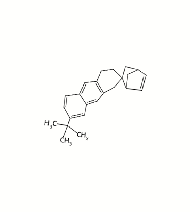 CC(C)(C)c1ccc2cc3c(cc2c1)CC1(CC3)CC2C=CC1C2